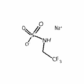 O=S(=O)([O-])NCC(F)(F)F.[Na+]